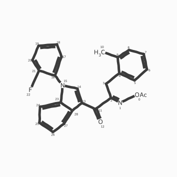 CC(=O)O/N=C(\Cc1ccccc1C)C(=O)c1cn(-c2ccccc2F)c2ccccc12